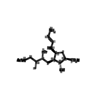 CCCC(C[C@@H]1[C@@H](O)[C@H](C(=O)O)C[C@@H]1NC=NN)C(C)CNC(C)=O